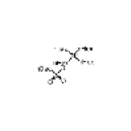 CCCCCCCCCCS(=O)(=O)[O-].CCCCCC[N+](CCCCCC)(CCCCCC)CCCCCC